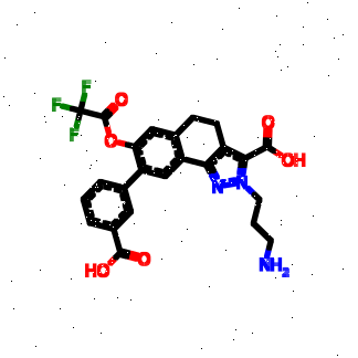 NCCCn1nc2c(c1C(=O)O)CCc1cc(OC(=O)C(F)(F)F)c(-c3cccc(C(=O)O)c3)cc1-2